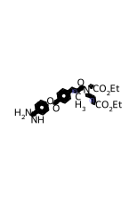 CCOC(=O)/C=C/CN(CC(=O)OCC)C(=O)/C(C)=C/c1ccc(C(=O)Oc2ccc(C(=N)N)cc2)cc1